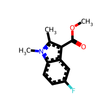 COC(=O)c1c(C)n(C)c2ccc(F)cc12